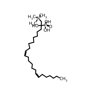 CCCCCC/C=C\CCCCC/C=C\CCCCCCCC(O)(C[N+](C)(C)C)P(=O)(O)O